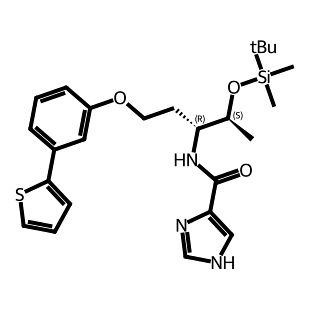 C[C@H](O[Si](C)(C)C(C)(C)C)[C@@H](CCOc1cccc(-c2cccs2)c1)NC(=O)c1c[nH]cn1